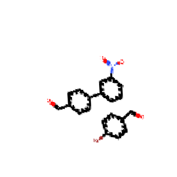 O=Cc1ccc(-c2cccc([N+](=O)[O-])c2)cc1.O=Cc1ccc(Br)cc1